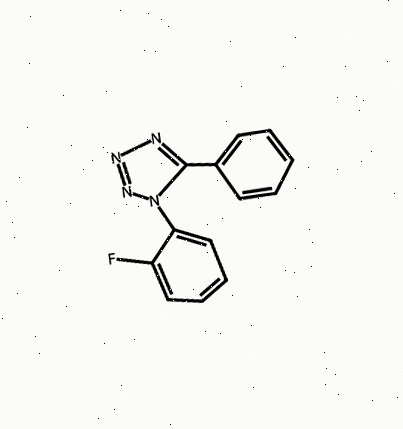 Fc1ccccc1-n1nnnc1-c1ccccc1